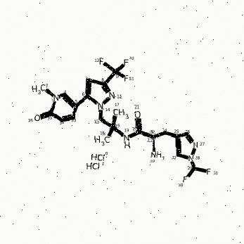 Cl.Cl.Cn1cc(-c2cc(C(F)(F)F)nn2CC(C)(C)NC(=O)[C@H](N)Cc2cnn(C(F)F)c2)ccc1=O